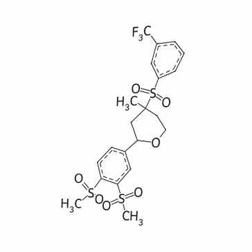 CC1(S(=O)(=O)c2cccc(C(F)(F)F)c2)CCOC(c2ccc(S(C)(=O)=O)c(S(C)(=O)=O)c2)C1